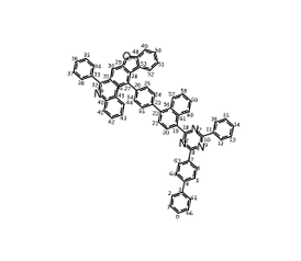 c1ccc(-c2ccc(-c3nc(-c4ccccc4)nc(-c4ccc(-c5ccc(-c6c7c(cc8c(-c9ccccc9)nc9ccccc9c68)oc6ccccc67)cc5)c5ccccc45)n3)cc2)cc1